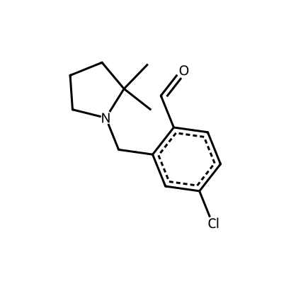 CC1(C)CCCN1Cc1cc(Cl)ccc1C=O